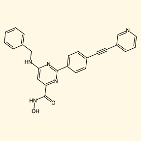 O=C(NO)c1cc(NCc2ccccc2)nc(-c2ccc(C#Cc3cccnc3)cc2)n1